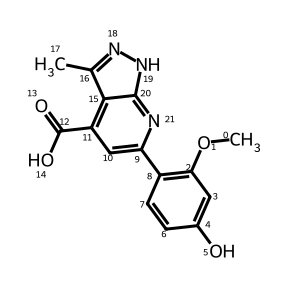 COc1cc(O)ccc1-c1cc(C(=O)O)c2c(C)n[nH]c2n1